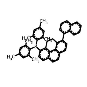 Cc1cc(C)c(B(c2ccc3ccc4ccc(-c5cccc6ccccc56)c5c4c3c2CC5)c2c(C)cc(C)cc2C)c(C)c1